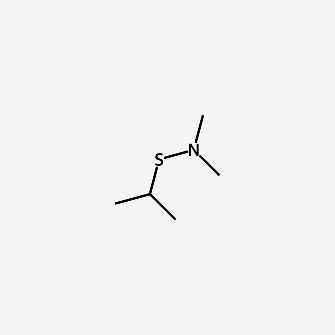 CC(C)SN(C)C